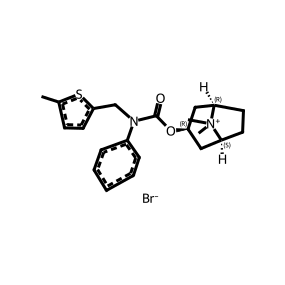 Cc1ccc(CN(C(=O)O[C@H]2C[C@H]3CC[C@@H](C2)[N+]3(C)C)c2ccccc2)s1.[Br-]